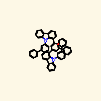 c1ccc(-c2cc(-c3cccc4c5ccccc5n(-c5cccc(-c6ccccc6)c5)c34)cc(-c3cccc4c5ccccc5n(-c5cccc(-c6ccccc6)c5)c34)c2)cc1